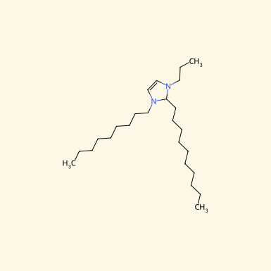 CCCCCCCCCCC1N(CCC)C=CN1CCCCCCCCC